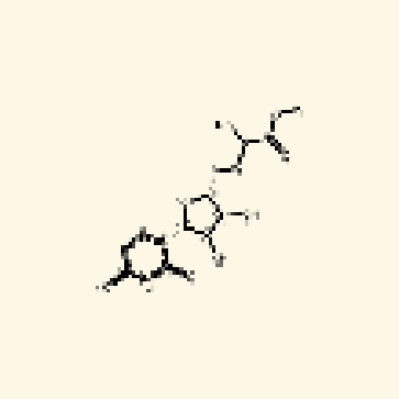 COC(=O)C(O)OC[C@H]1O[C@@H](n2ccc(=O)[nH]c2=O)[C@H](O)[C@@H]1O